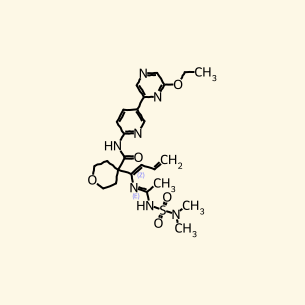 C=C/C=C(\N=C(/C)NS(=O)(=O)N(C)C)C1(C(=O)Nc2ccc(-c3cncc(OCC)n3)cn2)CCOCC1